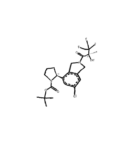 CC(C)(C)OC(=O)N1CCC[C@H]1c1cc(Cl)cc2c1CN(C(=O)[C@](C)(O)C(F)(F)F)C2